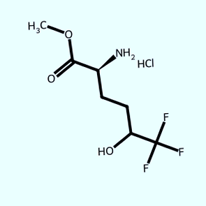 COC(=O)[C@@H](N)CCC(O)C(F)(F)F.Cl